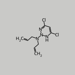 C=CCN(CC=C)N1N=C(Cl)C=C(Cl)N1